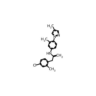 C=C(Cc1ccc(Cl)cc1C)Nc1ccc(-n2cc(C)cn2)c(C)c1